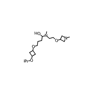 CC(C)OC1CC(OCCCC(O)N(C)CCOC2CN(C)C2)C1